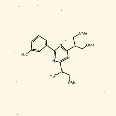 COCN(C)c1nc(-c2cccc(C)c2)nc(N(COC)COC)n1